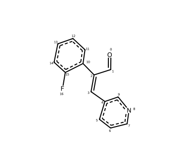 O=CC(=Cc1cccnc1)c1ccccc1F